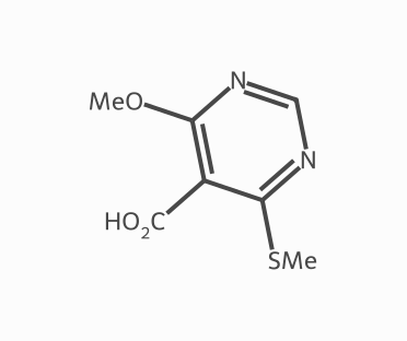 COc1ncnc(SC)c1C(=O)O